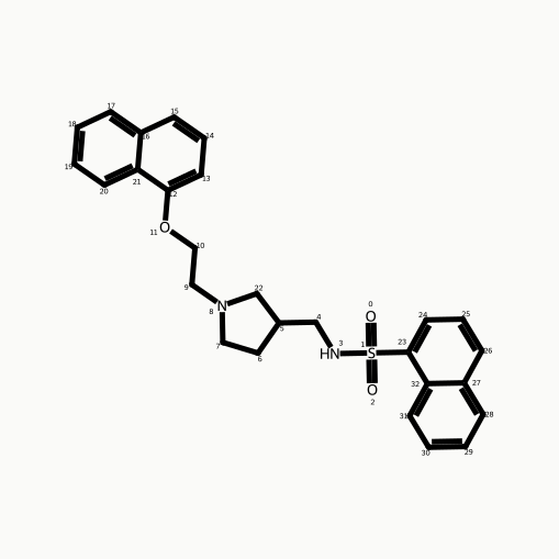 O=S(=O)(NCC1CCN(CCOc2cccc3ccccc23)C1)c1cccc2ccccc12